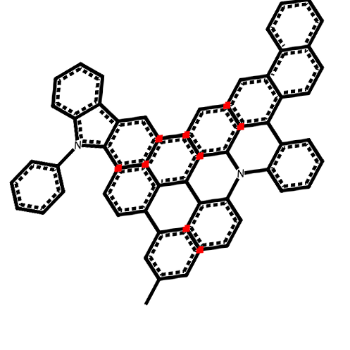 Cc1cccc(-c2cccc3cccc(-c4ccccc4N(c4cccc(-c5ccc6c(c5)c5ccccc5n6-c5ccccc5)c4)c4ccccc4-c4cccc5c4ccc4ccccc45)c23)c1